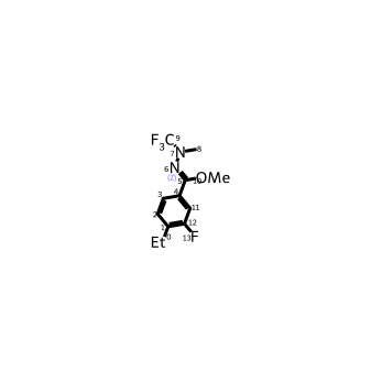 CCc1ccc(/C(=N/N(C)C(F)(F)F)OC)cc1F